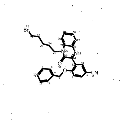 N#Cc1ccc(OCc2ccccc2)c(-c2nc3ccccc3n(CCCCCBr)c2=O)c1